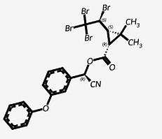 CC1(C)[C@@H]([C@H](Br)C(Br)(Br)Br)[C@H]1C(=O)O[C@@H](C#N)c1cccc(Oc2ccccc2)c1